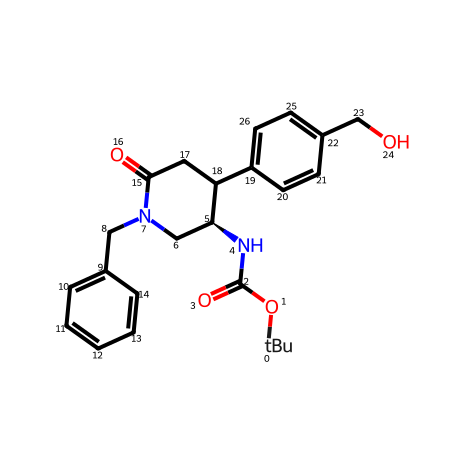 CC(C)(C)OC(=O)N[C@H]1CN(Cc2ccccc2)C(=O)CC1c1ccc(CO)cc1